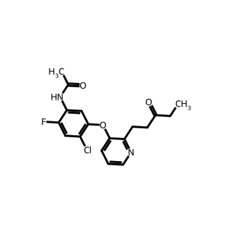 CCC(=O)CCc1ncccc1Oc1cc(NC(C)=O)c(F)cc1Cl